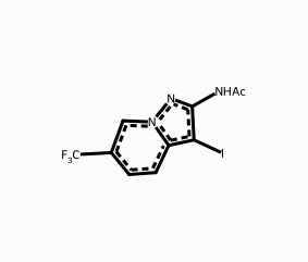 CC(=O)Nc1nn2cc(C(F)(F)F)ccc2c1I